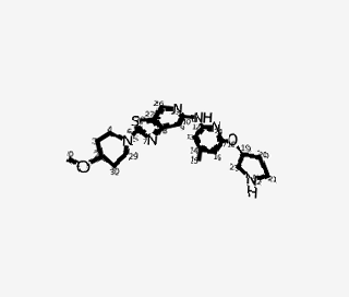 COC1CCN(c2nc3cc(Nc4cc(C)cc(O[C@H]5CCNC5)n4)ncc3s2)CC1